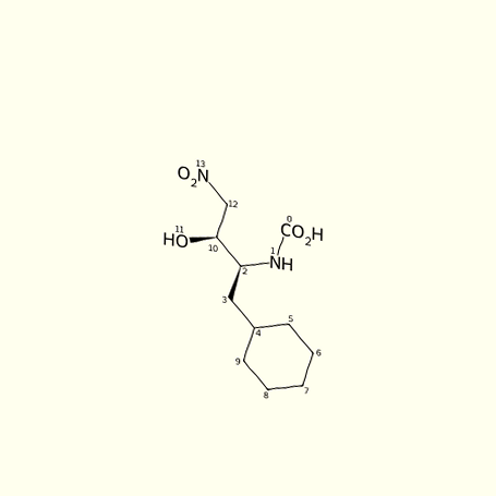 O=C(O)N[C@@H](CC1CCCCC1)[C@@H](O)C[N+](=O)[O-]